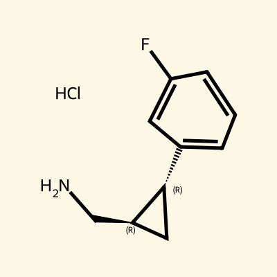 Cl.NC[C@@H]1C[C@H]1c1cccc(F)c1